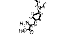 C=CCN(CC)c1ccc(C[C@H](N)C(=O)O)cc1